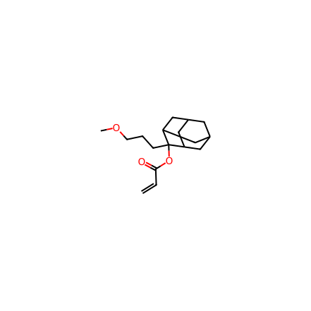 C=CC(=O)OC1(CCCOC)C2CC3CC(C2)CC1C3